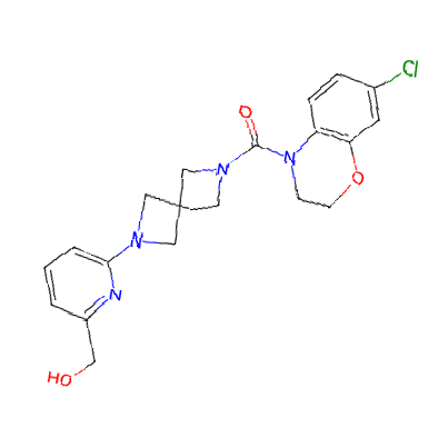 O=C(N1CC2(C1)CN(c1cccc(CO)n1)C2)N1CCOc2cc(Cl)ccc21